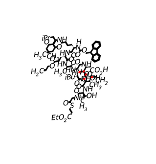 C=CCOC(=O)CC[C@H](NC(=O)[C@H](C)NC(=O)[C@H](CCC(=O)OCC=C)NC(=O)[C@H](CCCCNC(CC(C)C)=C1C(=O)CC(C)(C)CC1=O)NC(=O)OCC1c2ccccc2-c2ccccc21)C(=O)N[C@@H](CC(=O)O)C(=O)N[C@H](C(=O)N[C@H](C(=O)N[C@H](C(=O)NCC(=O)SCCC(=O)OCC)C(C)O)C(C)O)C(C)CC